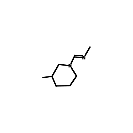 C/N=C/N1CCCC(C)C1